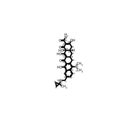 CN(C)c1c2c(c(O)c3cc(CNC4(C)CC4)ccc13)C(=O)C1=C(O)[C@]3(O)C(=O)C(C(N)=O)=C(O)C[C@@H]3CC1C2